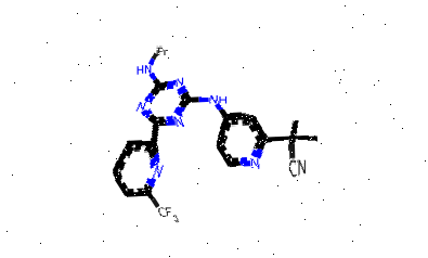 CC(C)Nc1nc(Nc2ccnc(C(C)(C)C#N)c2)nc(-c2cccc(C(F)(F)F)n2)n1